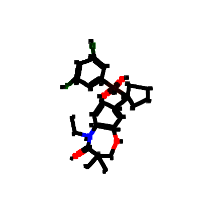 CCN1C(=O)C(C)(C)COc2cc(C3(S(=O)(=O)c4cc(F)cc(Cl)c4)CCCC3)ccc21